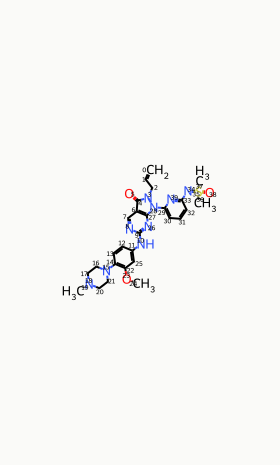 C=CCn1c(=O)c2cnc(Nc3ccc(N4CCN(C)CC4)c(OC)c3)nc2n1-c1cccc(N=S(C)(C)=O)n1